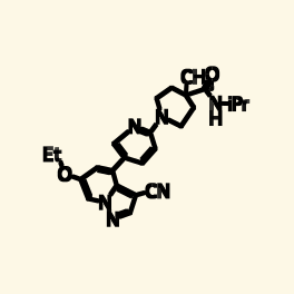 CCOc1cc(-c2ccc(N3CCC(C)(C(=O)NC(C)C)CC3)nc2)c2c(C#N)cnn2c1